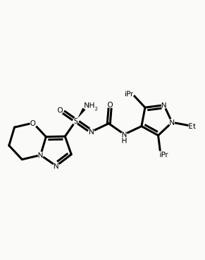 CCn1nc(C(C)C)c(NC(=O)N=[S@@](N)(=O)c2cnn3c2OCCC3)c1C(C)C